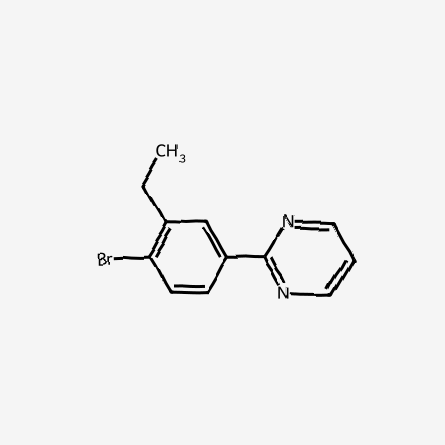 CCc1cc(-c2ncccn2)ccc1Br